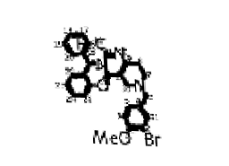 COc1ccc(CN2CCc3nc(C)n(C(c4ccccc4)c4ccccc4)c(=O)c3C2)cc1Br